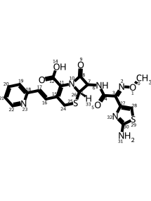 CON=C(C(=O)NC1C(=O)N2C(C(=O)O)=C(C=Cc3ccccn3)CS[C@@H]12)c1csc(N)n1